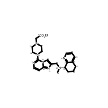 CCOC(=O)CN1CCN(c2nccc3nc(CN(C)[C@H]4CCCc5cccnc54)cn23)CC1